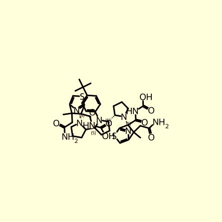 CC(C)(C)c1ccc(N2[C@H](C3CCCN3[C@@]3(C(=O)NC(=O)O)c4nc(cs4)C3(C)CC(N)=O)CC[C@H]2C2CCCN2[C@@]2(C(=O)NC(=O)O)c3nc(cs3)C2(C)CC(N)=O)cc1